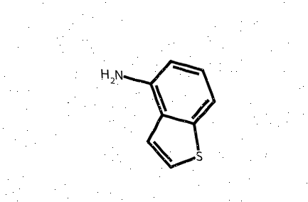 Nc1cccc2sccc12